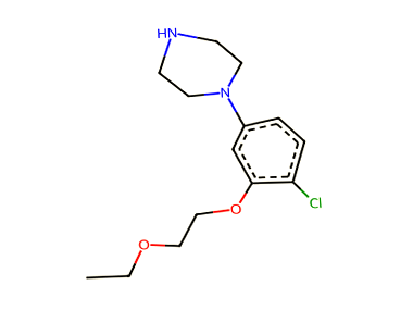 CCOCCOc1cc(N2CCNCC2)ccc1Cl